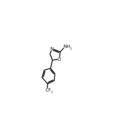 NC1=NCC(c2ccc(C(F)(F)F)cc2)O1